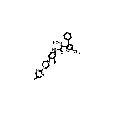 Cc1cc(-c2ccccc2)c(C(=NO)C(=O)Nc2ccc(N3CCN(c4ncc(F)cn4)CC3)c(F)c2)o1